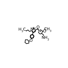 CCCCc1nnc(C(=O)N2CCC(CN)C(OC)C2)cc1-c1ccc(OC2CCCCC2)cc1